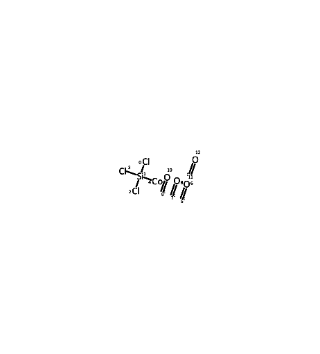 Cl[Si](Cl)(Cl)[Co].[C]=O.[C]=O.[C]=O.[C]=O